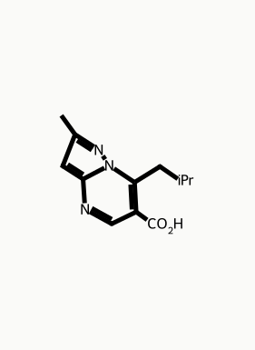 Cc1cc2ncc(C(=O)O)c(CC(C)C)n2n1